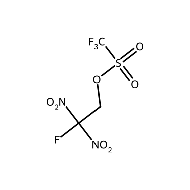 O=[N+]([O-])C(F)(COS(=O)(=O)C(F)(F)F)[N+](=O)[O-]